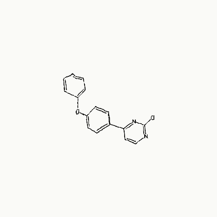 Clc1nccc(-c2ccc(Oc3ccccc3)cc2)n1